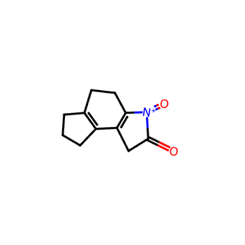 O=C1CC2=C(CCC3=C2CCC3)[N+]1=O